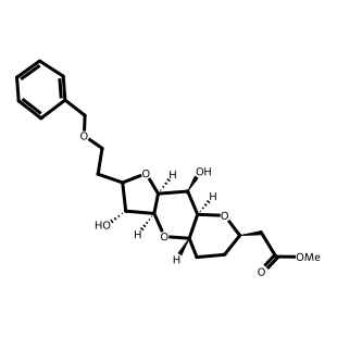 COC(=O)C[C@H]1CC[C@@H]2O[C@@H]3[C@@H](OC(CCOCc4ccccc4)[C@H]3O)[C@@H](O)[C@H]2O1